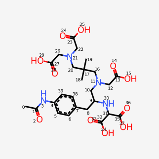 CC(=O)Nc1ccc(CC(CN(CC(=O)O)CC(C)(C)CN(CC(=O)O)CC(=O)O)NC(C(=O)O)C(=O)O)cc1